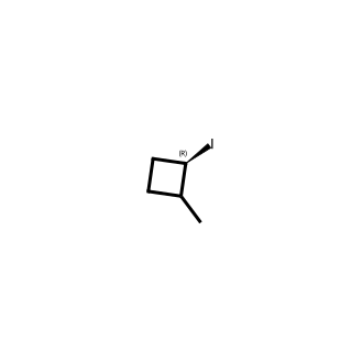 CC1CC[C@H]1I